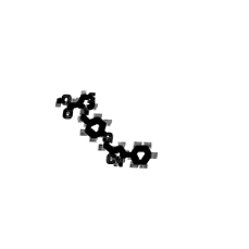 COC(=O)C1CSCN1Cc1ccc(OCc2cc(-c3ccccc3)no2)cc1